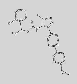 CC(OC(=O)Nc1c(F)cnn1-c1ccc(-c2ccc(C3CC3)cc2)cc1)c1ccccc1Cl